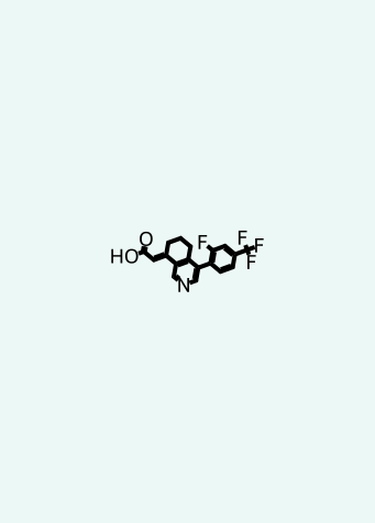 O=C(O)/C=C1\CCCc2c1cncc2-c1ccc(C(F)(F)F)cc1F